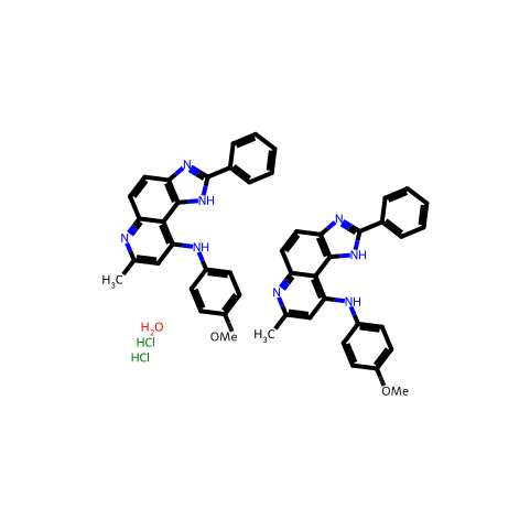 COc1ccc(Nc2cc(C)nc3ccc4nc(-c5ccccc5)[nH]c4c23)cc1.COc1ccc(Nc2cc(C)nc3ccc4nc(-c5ccccc5)[nH]c4c23)cc1.Cl.Cl.O